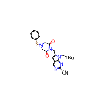 CC(C)(C)Cn1c(CN2C(=O)CN(Sc3ccccc3)CC2=O)cc2cnc(C#N)nc21